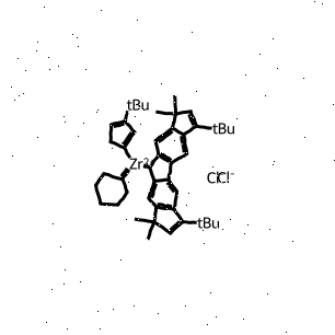 CC(C)(C)C1=CC[C]([Zr+2](=[C]2CCCCC2)[CH]2c3cc4c(cc3-c3cc5c(cc32)C(C)(C)C=C5C(C)(C)C)C(C(C)(C)C)=CC4(C)C)=C1.[Cl-].[Cl-]